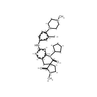 CN1CCN(c2ccc(Nc3ncc4c(n3)N(C3CCCC3)C(=O)C3(CCN(C)C3=O)C4)cc2F)CC1